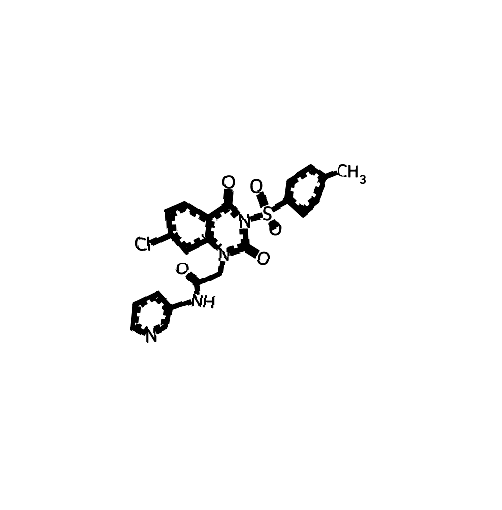 Cc1ccc(S(=O)(=O)n2c(=O)c3ccc(Cl)cc3n(CC(=O)Nc3cccnc3)c2=O)cc1